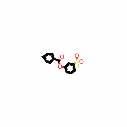 O=C(Oc1cccc([SH](=O)=O)c1)c1ccccc1